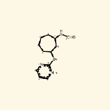 O=CNC1CCCCC(Oc2ncccn2)C1